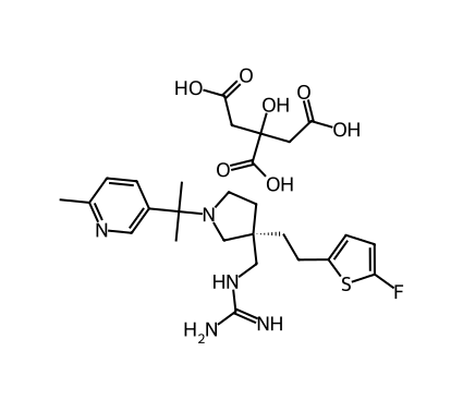 Cc1ccc(C(C)(C)N2CC[C@@](CCc3ccc(F)s3)(CNC(=N)N)C2)cn1.O=C(O)CC(O)(CC(=O)O)C(=O)O